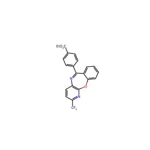 CCOC(=O)c1ccc(C2=Nc3ccc(C(F)(F)F)nc3Oc3ccccc32)cc1